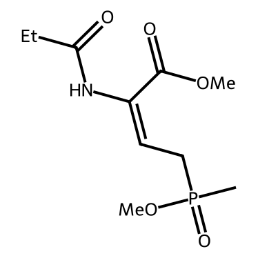 CCC(=O)NC(=CCP(C)(=O)OC)C(=O)OC